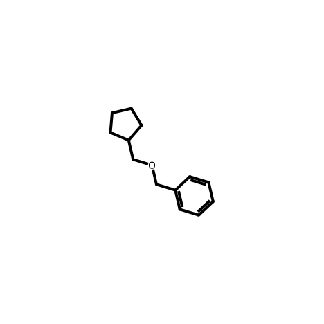 c1ccc(COCC2CCCC2)cc1